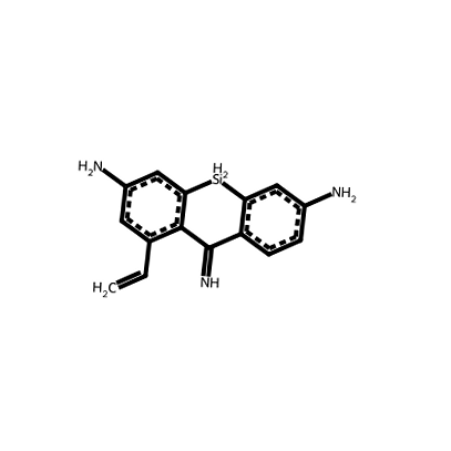 C=Cc1cc(N)cc2c1C(=N)c1ccc(N)cc1[SiH2]2